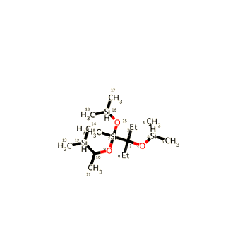 CCC(CC)(O[SiH](C)C)[Si](C)(OC(C)[SiH](C)C)O[SiH](C)C